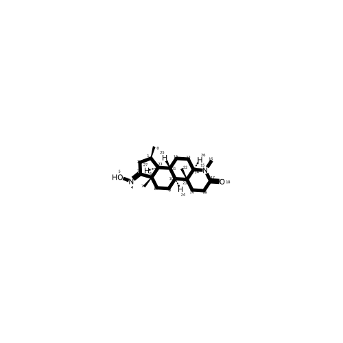 C[C@@H]1CC(=NO)[C@@]2(C)CC[C@H]3[C@@H](CC[C@H]4N(C)C(=O)CC[C@]34C)[C@H]12